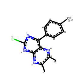 Cc1nc2nc(Cl)nc(-c3ccc(C(F)(F)F)cc3)c2nc1C